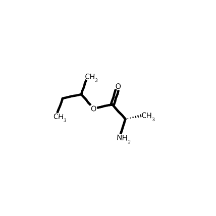 CCC(C)OC(=O)[C@H](C)N